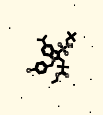 CCOC(=O)C(C)(C)Cc1c(S(=O)(=O)NCC(C)(C)C)c2cc(C(C)C)ccc2n1Cc1ccc(Cl)cc1